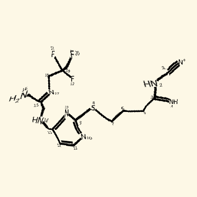 N#CNC(=N)CCCSc1nccc(NC(N)=NCC(F)(F)F)n1